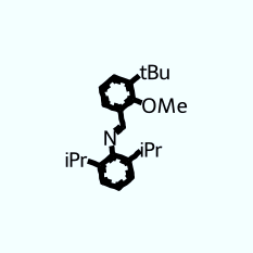 COc1c(C=Nc2c(C(C)C)cccc2C(C)C)cccc1C(C)(C)C